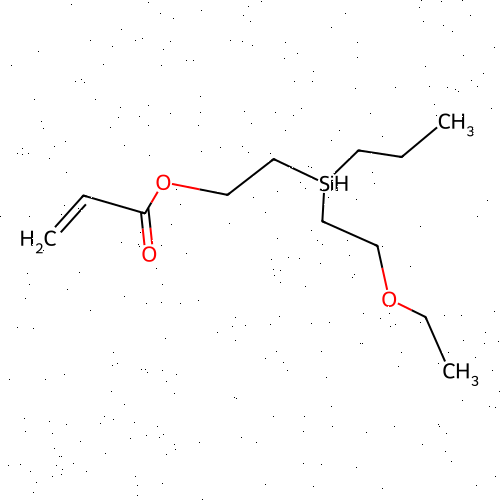 C=CC(=O)OCC[SiH](CCC)CCOCC